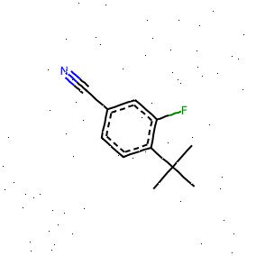 CC(C)(C)c1ccc(C#N)cc1F